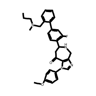 CCCN(C)Cc1ccccc1-c1ccc(C2CC(=O)c3c(ncn3-c3ccc(OC)cc3)CN2)c(F)c1